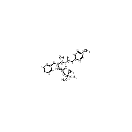 Cc1cnc(CNC[C@@H](O)[C@H](Cc2ccccc2)NC(=O)OC(C)(C)C)cn1